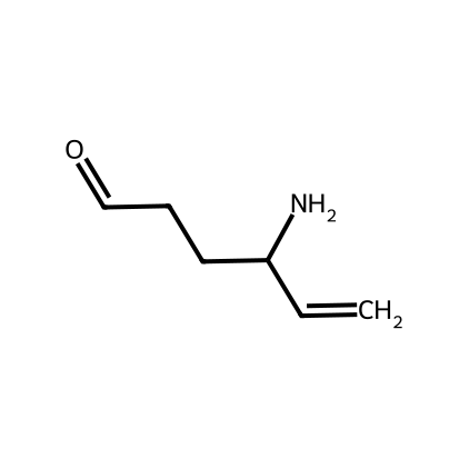 C=CC(N)CCC=O